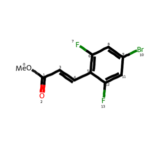 COC(=O)/C=C/c1c(F)cc(Br)cc1F